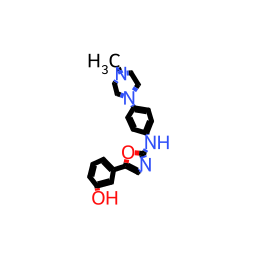 CN1CCN(c2ccc(Nc3ncc(-c4cccc(O)c4)o3)cc2)CC1